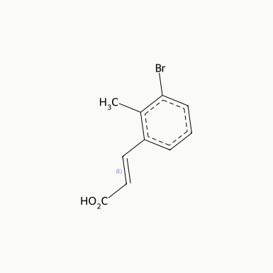 Cc1c(Br)cccc1/C=C/C(=O)O